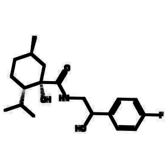 CC(C)[C@@H]1CC[C@@H](C)C[C@@]1(O)C(=O)NCC(O)c1ccc(F)cc1